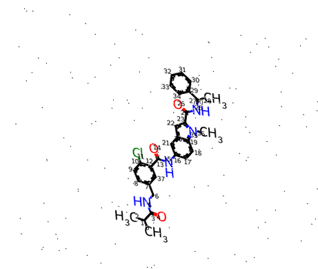 CC(C)C(=O)NCc1ccc(Cl)c(C(=O)Nc2ccc3c(c2)cc(C(=O)N[C@H](C)c2ccccc2)n3C)c1